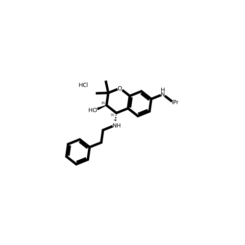 CC(C)Nc1ccc2c(c1)OC(C)(C)[C@H](O)[C@H]2NCCc1ccccc1.Cl